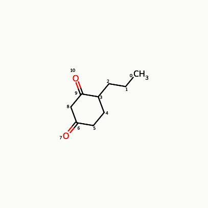 CCCC1CCC(=O)CC1=O